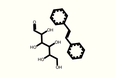 C(=Cc1ccccc1)c1ccccc1.O=CC(O)C(O)C(O)C(O)CO